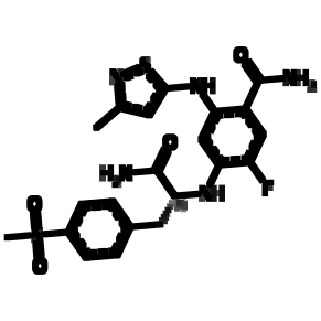 Cc1cc(Nc2cc(N[C@H](Cc3ccc(S(C)(=O)=O)cc3)C(N)=O)c(F)cc2C(N)=O)sn1